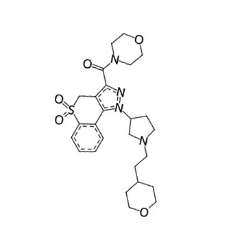 O=C(c1nn(C2CCN(CCC3CCOCC3)C2)c2c1CS(=O)(=O)c1ccccc1-2)N1CCOCC1